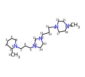 CC1CCCCN1CCCN1[C]N(CCCN2CCN(C)CC2)CC1